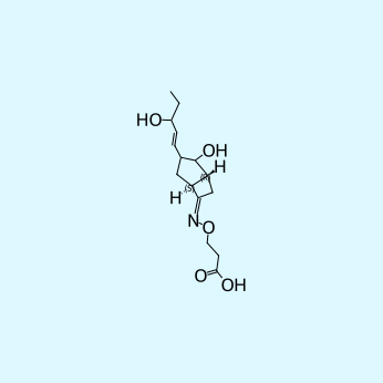 CCC(O)C=CC1C[C@@H]2C(=NOCCC(=O)O)C[C@H]2C1O